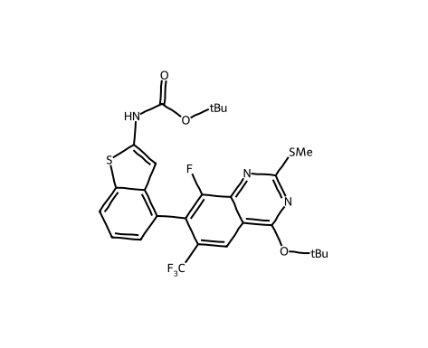 CSc1nc(OC(C)(C)C)c2cc(C(F)(F)F)c(-c3cccc4sc(NC(=O)OC(C)(C)C)cc34)c(F)c2n1